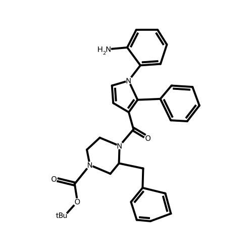 CC(C)(C)OC(=O)N1CCN(C(=O)c2ccn(-c3ccccc3N)c2-c2ccccc2)C(Cc2ccccc2)C1